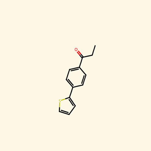 CCC(=O)c1ccc(-c2cccs2)cc1